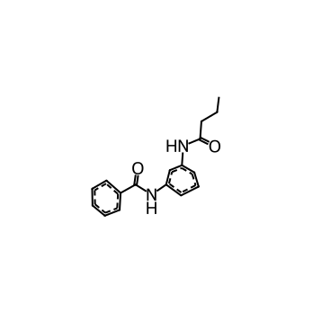 CCCC(=O)Nc1cccc(NC(=O)c2ccccc2)c1